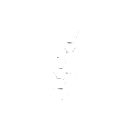 CC(C)(C)OC(=O)Cn1cnc2c(c1=O)N[C@H](c1ccc(C(F)(F)F)cc1)CO2